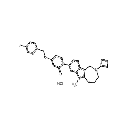 Cl.Cn1c2c(c3ccc(-n4ccc(OCc5ccc(F)cn5)cc4=O)cc31)CN(C1=CC=C1)CCC2